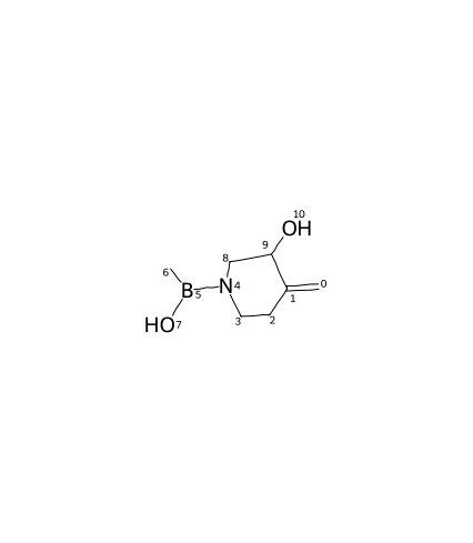 C=C1CCN(B(C)O)CC1O